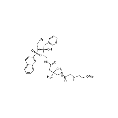 COCCNCC(=O)NCC(C)(C)CC(=O)NCCC(O)(Cc1ccccc1)N(CC(C)C)S(=O)(=O)c1ccc2ccccc2c1